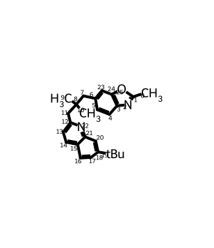 Cc1nc2ccc(CC(C)(C)Cc3ccc4ccc(C(C)(C)C)cc4n3)cc2o1